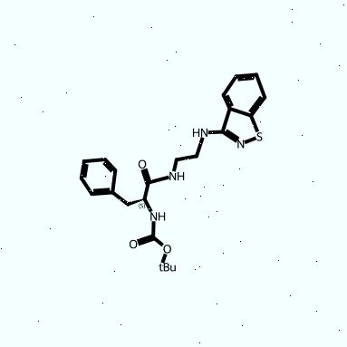 CC(C)(C)OC(=O)N[C@@H](Cc1ccccc1)C(=O)NCCNc1nsc2ccccc12